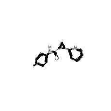 O=C(Nc1ccc(I)cc1)[C@@H]1C[C@H]1c1ccccn1